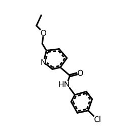 CCOCc1ccc(C(=O)Nc2ccc(Cl)cc2)cn1